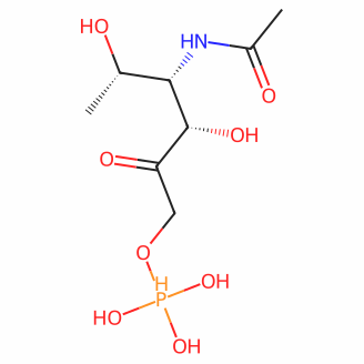 CC(=O)N[C@@H]([C@H](C)O)[C@H](O)C(=O)CO[PH](O)(O)O